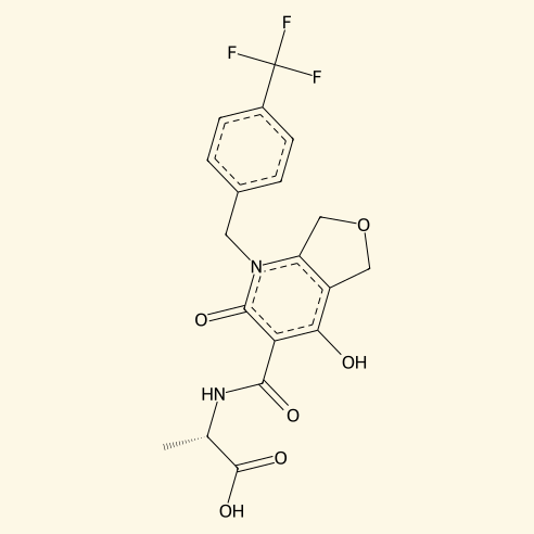 C[C@H](NC(=O)c1c(O)c2c(n(Cc3ccc(C(F)(F)F)cc3)c1=O)COC2)C(=O)O